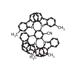 Cc1ccc2c3ccccc3n(-c3c(C#N)c(-n4c5ccccc5c5ccc(C)cc54)c(-n4c5ccccc5c5ccc(C)cc54)c(-c4cccc5sc6cnccc6c45)c3-n3c4ccccc4c4ccc(C)cc43)c2c1